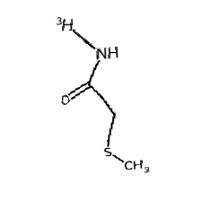 [3H]NC(=O)CSC